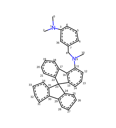 CN(C)c1cccc(CN(C)c2cccc3c2-c2ccccc2C32c3ccccc3-c3ccccc32)c1